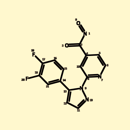 O=NC(=O)c1ccnc(-n2nccc2-c2ccc(F)c(F)c2)c1